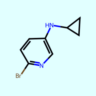 Brc1ccc(NC2CC2)cn1